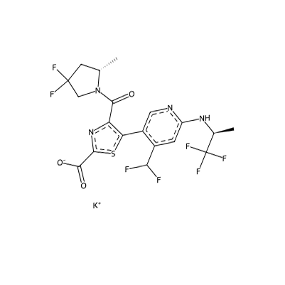 C[C@H](Nc1cc(C(F)F)c(-c2sc(C(=O)[O-])nc2C(=O)N2CC(F)(F)C[C@@H]2C)cn1)C(F)(F)F.[K+]